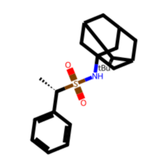 C[C@@H](c1ccccc1)S(=O)(=O)NC12CC3CC(C1)C(C(C)(C)C)C(C3)C2